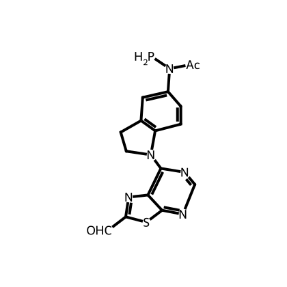 CC(=O)N(P)c1ccc2c(c1)CCN2c1ncnc2sc(C=O)nc12